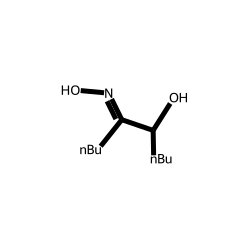 CCCC/C(=N\O)C(O)CCCC